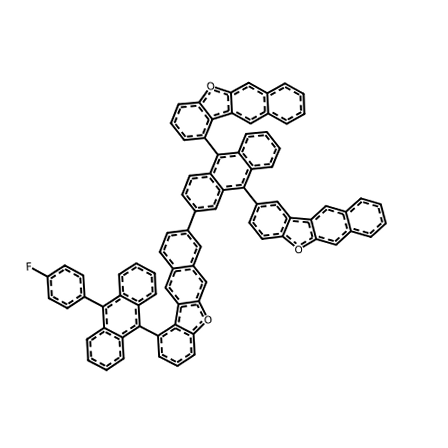 Fc1ccc(-c2c3ccccc3c(-c3cccc4oc5cc6cc(-c7ccc8c(-c9cccc%10oc%11cc%12ccccc%12cc%11c9%10)c9ccccc9c(-c9ccc%10oc%11cc%12ccccc%12cc%11c%10c9)c8c7)ccc6cc5c34)c3ccccc23)cc1